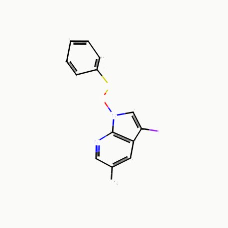 N#Cc1cnc2c(c1)c(I)cn2OSc1ccccc1